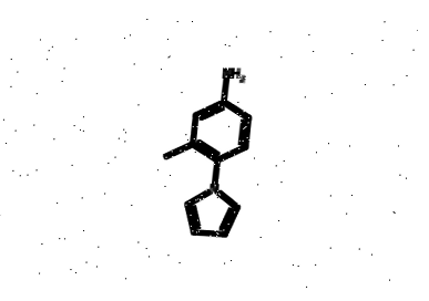 Cc1cc(N)ccc1-n1cccc1